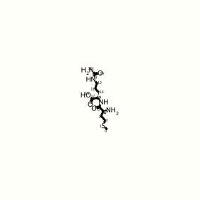 CSCC[C@H](N)C(=O)N[C@@H](CCCNC(N)=O)C(=O)O